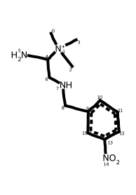 C[N+](C)(C)C(N)CNCc1cccc([N+](=O)[O-])c1